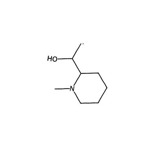 [CH2]C(O)C1CCCCN1C